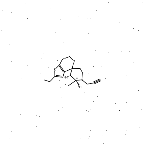 [2H]C1C2(CCN(CC#C)[C@]1([2H])C)OCCc1sc(CC)cc12